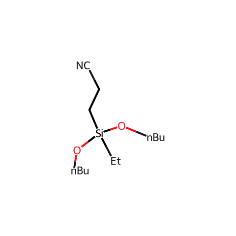 CCCCO[Si](CC)(CCC#N)OCCCC